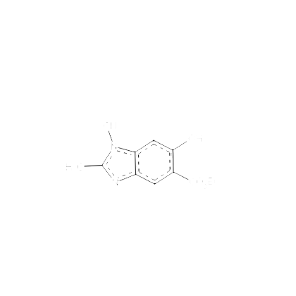 CCOC(=O)c1cc2nc(C)n(C)c2cc1O